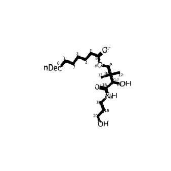 CCCCCCCCCCCCCCCC(=O)OCC(C)(C)C(O)C(=O)NCCCO